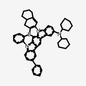 C1=C2CCCCC2CC2=C1n1c3ccc(N(C4CCCCC4)C4CCCCC4)cc3c3cc4c5cc(-c6ccccc6)ccc5n5c4c(c31)B2c1ccccc1-5